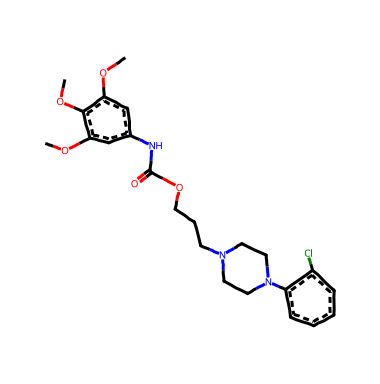 COc1cc(NC(=O)OCCCN2CCN(c3ccccc3Cl)CC2)cc(OC)c1OC